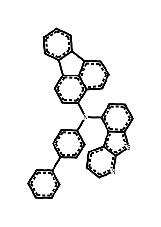 c1ccc(-c2ccc(N(c3ccc4c5c(cccc35)-c3ccccc3-4)c3cccc4sc5ncccc5c34)cc2)cc1